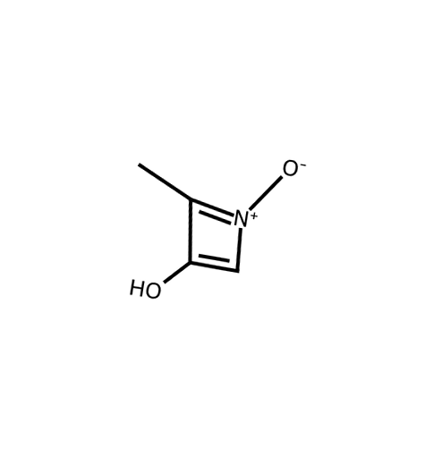 CC1=[N+]([O-])C=C1O